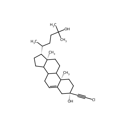 CC(CCC(C)(C)O)[C@H]1CCC2C3CC=C4C[C@](O)(C#CCl)CC[C@]4(C)C3CC[C@@]21C